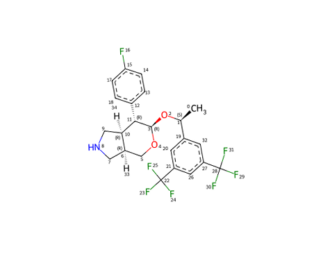 C[C@H](O[C@H]1OC[C@H]2CNC[C@H]2[C@@H]1c1ccc(F)cc1)c1cc(C(F)(F)F)cc(C(F)(F)F)c1